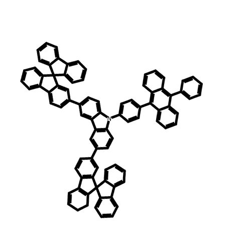 C1=CC2=C(CC1)C1(c3cc(-c4ccc5c(c4)c4cc(-c6ccc7c(c6)C6(c8ccccc8-c8ccccc86)c6ccccc6-7)ccc4n5-c4ccc(-c5c6ccccc6c(-c6ccccc6)c6ccccc56)cc4)ccc32)c2ccccc2-c2ccccc21